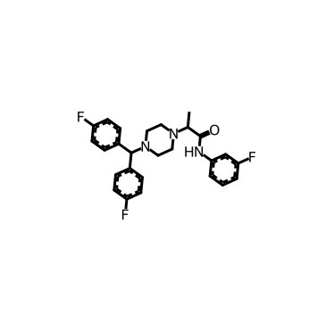 CC(C(=O)Nc1cccc(F)c1)N1CCN(C(c2ccc(F)cc2)c2ccc(F)cc2)CC1